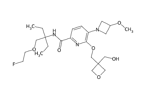 CCC(CC)(COCCF)NC(=O)c1ccc(N2CC(OC)C2)c(OCC2(CO)COC2)n1